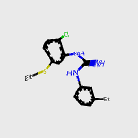 CCSc1ccc(Cl)c(NC(=N)Nc2cccc(CC)c2)c1